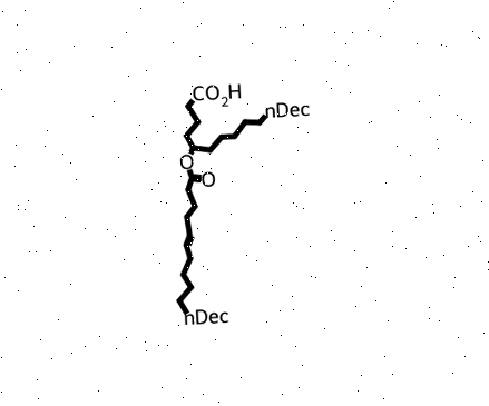 CCCCCCCCCCCCCC/C=C/CCCC(=O)OC(CCCCCCCCCCCCCCC)CCCC(=O)O